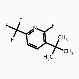 CC(C)(C)c1ccc(C(F)(F)F)nc1F